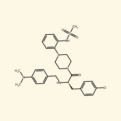 CN(C)c1ccc(CN[C@H](Cc2ccc(Cl)cc2)C(=O)N2CCN(c3ccccc3NS(C)(=O)=O)CC2)cc1